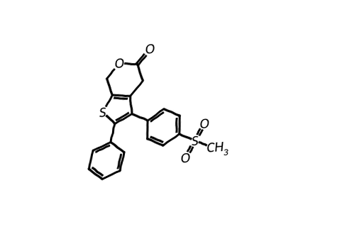 CS(=O)(=O)c1ccc(-c2c(-c3ccccc3)sc3c2CC(=O)OC3)cc1